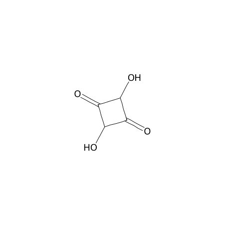 O=C1C(O)C(=O)C1O